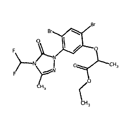 CCOC(=O)C(C)Oc1cc(-n2nc(C)n(C(F)F)c2=O)c(Br)cc1Br